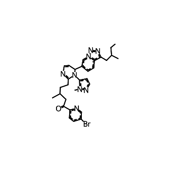 CCC(C)Cc1nnn2cc(C3C=CN=C(CCC(C)CC(=O)c4ccc(Br)cn4)N3c3ccnn3C)ccc12